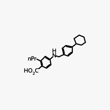 CCCc1cc(NCc2ccc(C3CCCCC3)cc2)ccc1C(=O)O